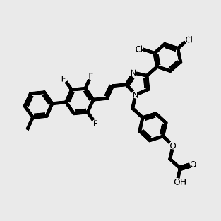 Cc1cccc(-c2cc(F)c(C=Cc3nc(-c4ccc(Cl)cc4Cl)cn3Cc3ccc(OCC(=O)O)cc3)c(F)c2F)c1